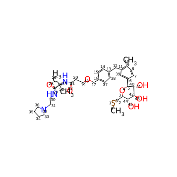 CS#CC1O[C@@H](c2ccc(C)c(Cc3ccc(COCCC(=O)NC(C)(C)C(=O)NCCN4CCCC4)cc3)c2)[C@H](O)[C@@H](O)[C@@H]1O